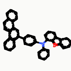 c1ccc(N(c2ccc(-c3cc4c5ccccc5ccc4c4ccccc34)cc2)c2cccc3c2oc2ccccc23)cc1